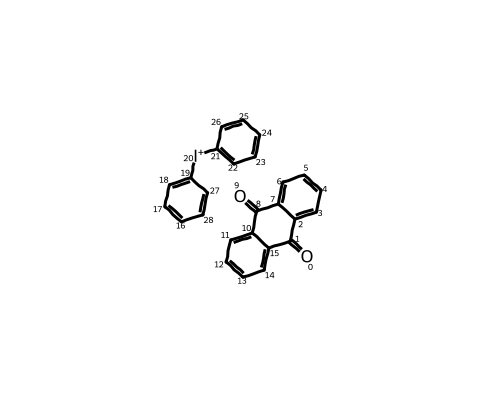 O=C1c2ccccc2C(=O)c2ccccc21.c1ccc([I+]c2ccccc2)cc1